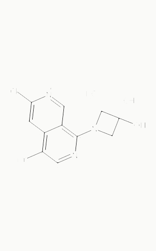 CC(C)c1cnc(N2C[C@](C)(O)[C@H]2C)c2cnc(Cl)cc12